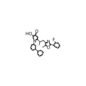 Cc1oc(-c2ccccc2F)nc1CC(C)c1cc(=O)c(O)cn1-c1cccc(-c2ccccc2)c1